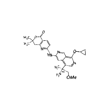 COC[C@@](C)(N)c1cnc(OC2CC2)c2cnc(Nc3ccc4c(n3)CC(C)(C)OC4=O)cc12